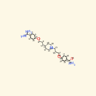 N=C(N)c1ccc(OCCCC2CCN(CCCOc3ccc(C(N)=O)cc3)CC2)cc1